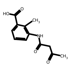 CC(=O)CC(=O)Nc1cccc(C(=O)O)c1C